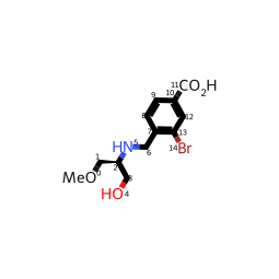 COC[C@H](CO)NCc1ccc(C(=O)O)cc1Br